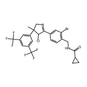 CC1(c2cc(C(F)(F)F)cc(C(F)(F)F)c2)CN=C(c2ccc(CNC(=O)C3CC3)c(Br)c2)C1Cl